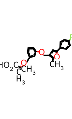 Cc1oc(-c2ccc(F)cc2)cc1COc1cccc(COC(C)(C)C(=O)O)c1